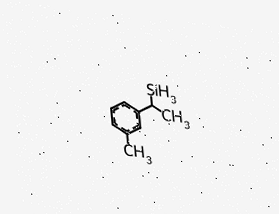 Cc1cccc(C(C)[SiH3])c1